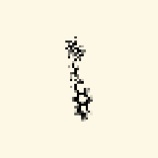 CS(=O)(=O)OCCCOCCc1ccc2sccc2c1